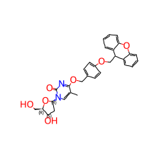 Cc1cn([C@H]2C[C@H](O)[C@@H](CO)O2)c(=O)nc1OCc1ccc(OCC2c3ccccc3Oc3ccccc32)cc1